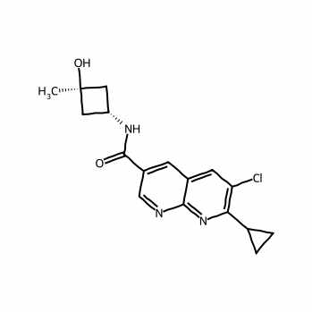 C[C@]1(O)C[C@H](NC(=O)c2cnc3nc(C4CC4)c(Cl)cc3c2)C1